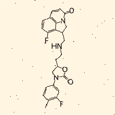 Cc1ccc(N2CC(CCNCC3Cn4c(=O)ccc5ccc(F)c3c54)OC2=O)cc1F